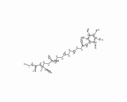 CCSC(=S)SC(C)(C#N)CCC(=O)NCCOCCOCCC(=O)Oc1c(F)c(F)c(F)c(F)c1F